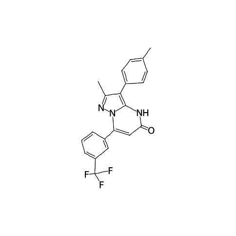 Cc1ccc(-c2c(C)nn3c(-c4cccc(C(F)(F)F)c4)cc(=O)[nH]c23)cc1